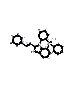 O=P1(c2ccccc2)c2ccccc2-n2c(/C=C/c3ccccc3)nc3cccc1c32